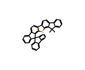 CC1(C)c2ccccc2-c2ccc3c(sc4c5c(ccc43)-c3ccccc3C53c4ccccc4-c4ccccc43)c21